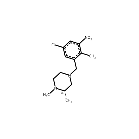 Cc1c(CN2CCN(C)[C@@H](C)C2)cc(Cl)cc1[N+](=O)[O-]